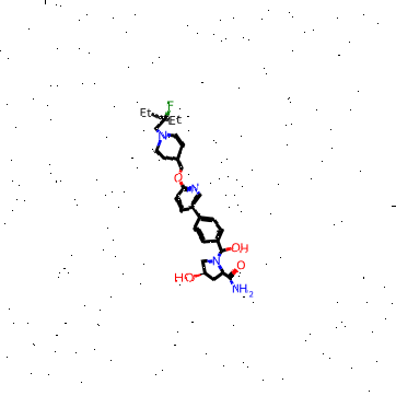 CCC(F)(CC)CN1CCC(COc2ccc(-c3ccc(C(O)N4C[C@H](O)CC4C(N)=O)cc3)cn2)CC1